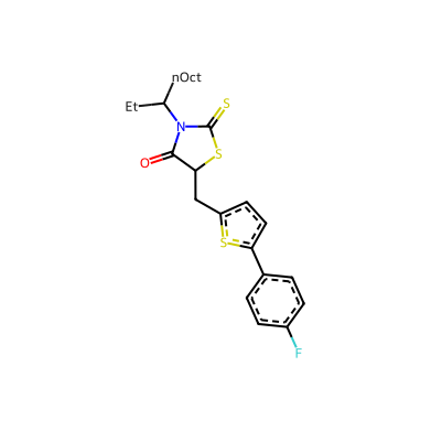 CCCCCCCCC(CC)N1C(=O)C(Cc2ccc(-c3ccc(F)cc3)s2)SC1=S